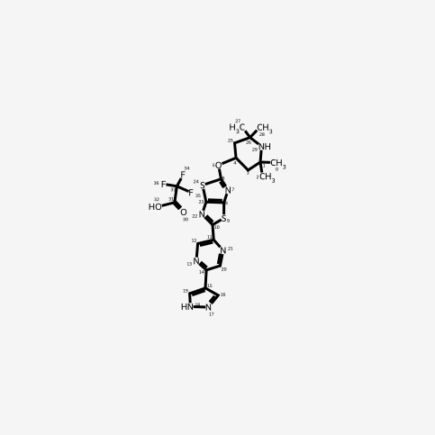 CC1(C)CC(Oc2nc3sc(-c4cnc(-c5cn[nH]c5)cn4)nc3s2)CC(C)(C)N1.O=C(O)C(F)(F)F